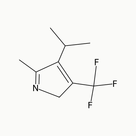 CC1=NCC(C(F)(F)F)=C1C(C)C